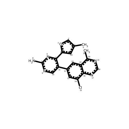 Cc1coc(-c2nc(N)ncc2-c2cc(Cl)c3ncnc(C)c3c2)c1